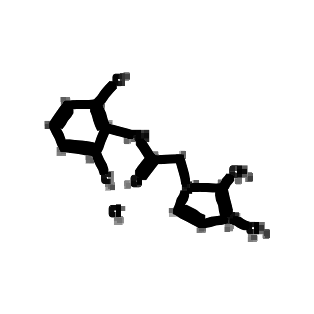 Cc1n(CC(=O)Nc2c(Cl)cccc2Cl)cc[n+]1C.[Cl-]